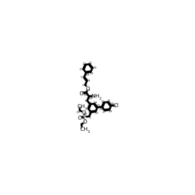 CCOP(=O)(Cc1cc(CC(N)C(=O)OCC=Cc2ccccc2)cc(-c2ccc(Cl)cc2)c1)OCC